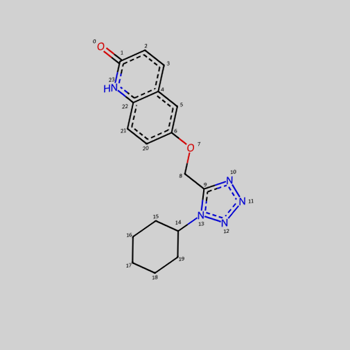 O=c1ccc2cc(OCc3nnnn3C3CCCCC3)ccc2[nH]1